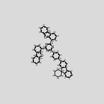 c1ccc2c(c1)-c1ccc(-c3ccc(-c4nc(-c5cccc6c5oc5ccccc56)nc(-c5cccc6c5oc5ccccc56)n4)cc3)cc1C21CCCCC1